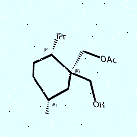 CC(=O)OC[C@]1(CO)C[C@H](C)CC[C@@H]1C(C)C